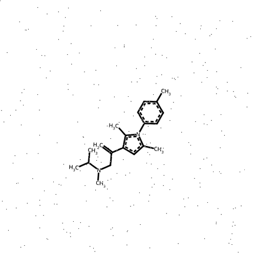 C=C(CN(C)C(C)C)c1cc(C)n(-c2ccc(C)cc2)c1C